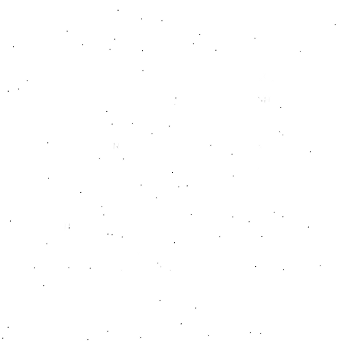 CCc1cc(-c2cc(Oc3ccc(C(C)=N)c(NC)c3)ccn2)cc(F)c1C(N)=O